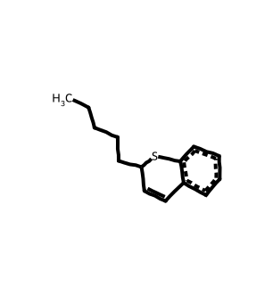 CCCCCC1C=Cc2ccccc2S1